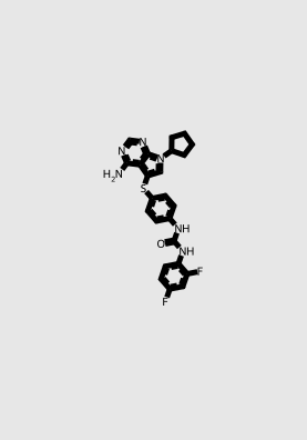 Nc1ncnc2c1c(Sc1ccc(NC(=O)Nc3ccc(F)cc3F)cc1)cn2C1CCCC1